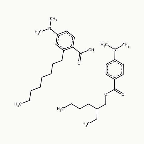 CCCCC(CC)COC(=O)c1ccc(N(C)C)cc1.CCCCCCCCc1cc(N(C)C)ccc1C(=O)O